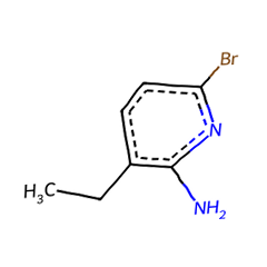 CCc1ccc(Br)nc1N